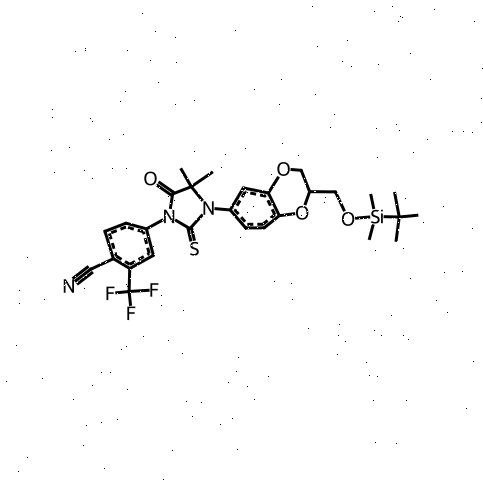 CC1(C)C(=O)N(c2ccc(C#N)c(C(F)(F)F)c2)C(=S)N1c1ccc2c(c1)OCC(CO[Si](C)(C)C(C)(C)C)O2